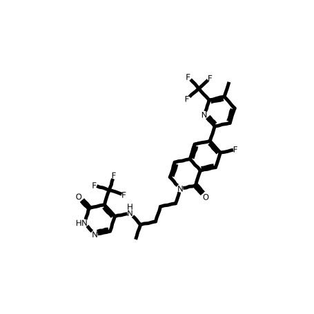 Cc1ccc(-c2cc3ccn(CCCC(C)Nc4cn[nH]c(=O)c4C(F)(F)F)c(=O)c3cc2F)nc1C(F)(F)F